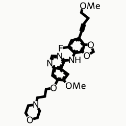 COCCC#Cc1cc(F)c(Nc2ncnc3cc(OCCCN4CCOCC4)c(OC)cc23)c2c1OCO2